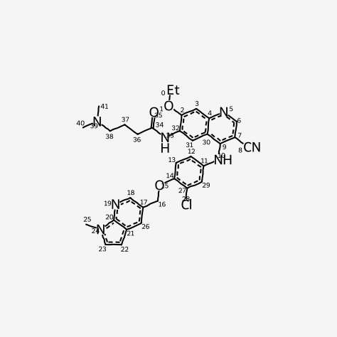 CCOc1cc2ncc(C#N)c(Nc3ccc(OCc4cnc5c(ccn5C)c4)c(Cl)c3)c2cc1NC(=O)CCCN(C)C